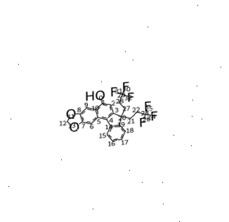 Oc1cc2c(c3cc4c(cc13)OCO4)-c1ccccc1C2(CCC(F)(F)F)CCC(F)(F)F